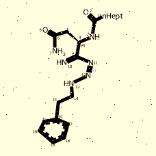 CCCCCCCC(=O)N[C@H](CC(N)=O)C(=N)/N=N\NCCc1ccccc1